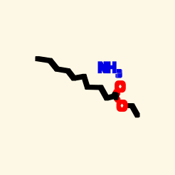 CCCCCCCCCC(=O)OCC.N